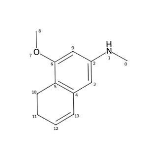 CNc1cc2c(c(OC)c1)CCC=C2